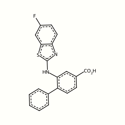 O=C(O)c1ccc(-c2ccccc2)c(Nc2nc3ccc(F)cc3s2)c1